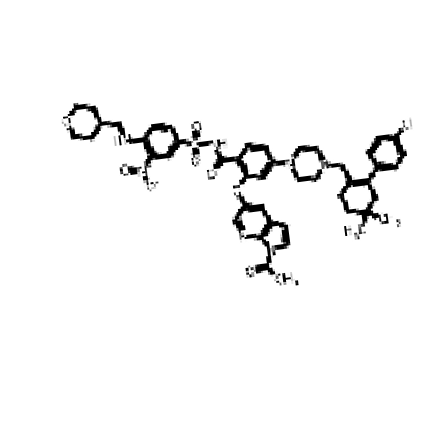 CC(=O)n1ccc2cc(Oc3cc(N4CCN(CC5=C(c6ccc(Cl)cc6)CC(C)(C)CC5)CC4)ccc3C(=O)NS(=O)(=O)c3ccc(NCC4CCOCC4)c([N+](=O)[O-])c3)cnc21